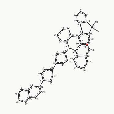 CC1(C)c2ccccc2-c2c(-c3ccccc3N(c3ccc(-c4ccc(-c5ccc6ccccc6c5)cc4)cc3)c3cccc4ccccc34)cccc21